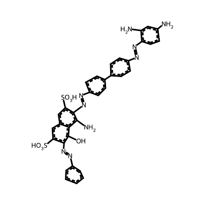 Nc1ccc(/N=N/c2ccc(-c3ccc(/N=N/c4c(S(=O)(=O)O)cc5cc(S(=O)(=O)O)c(/N=N/c6ccccc6)c(O)c5c4N)cc3)cc2)c(N)c1